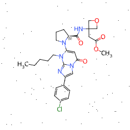 CCCCCn1c(N2CCC[C@H]2C(=O)NC2(CC(=O)OC)COC2)cc(=O)n2cc(-c3ccc(Cl)cc3)nc12